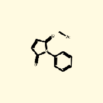 CC(C)=O.O=C1C=CC(=O)N1c1ccccc1